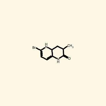 CC1CC2NC(Br)=CC=C2NC1=O